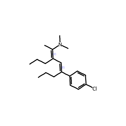 CCCC(/C=C(\CCC)c1ccc(Cl)cc1)=C(\C)N(C)C